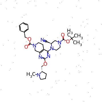 CN1CCC[C@H]1COc1nc2c(c(N3CCN(C(=O)OC(C)(C)C)C[C@@H]3C#N)n1)CCN(C(=O)OCc1ccccc1)C2